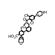 O=C(O)c1cc(F)c(-c2cccc3c2OCN(C(=O)c2c(Cl)cc(N4CCNCC4)cc2Cl)C3)cc1N1C2CCC1COC2